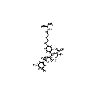 N=C(N)NOCCCOc1ccc(C[C@H](NS(=O)(=O)c2cc(Cl)cc(Cl)c2)C(=O)O)cc1.O=C(O)C(F)(F)F